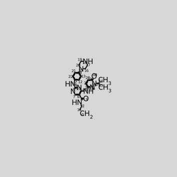 C=CCNC(=O)c1cnc(Nc2ccc(N3CCNCC3)cc2)nc1Nc1ccc(=O)n(C(C)C)n1